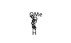 COc1ccc(-c2cc3ccc(N4CCN[C@H](C)C4)cc3oc2=O)cc1C